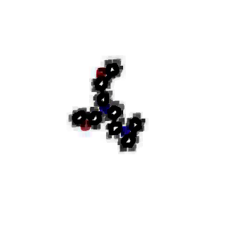 c1cc(-c2cccc(-n3c4ccccc4c4ccccc43)c2)cc(N(c2ccc(-c3ccc4oc5ccccc5c4c3)cc2)c2ccc3oc4ccccc4c3c2)c1